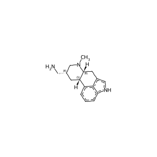 CN1C[C@@H](CN)C[C@H]2c3cccc4[nH]cc(c34)C[C@H]21